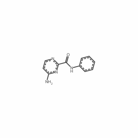 Nc1ccnc(C(=O)Nc2ccccc2)n1